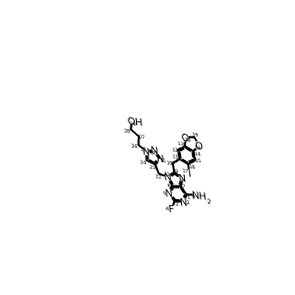 Nc1nc(F)nc2c1nc(Cc1cc3c(cc1I)OCO3)n2Cc1cn(CCCO)nn1